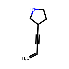 C=CC#CC1CCNC1